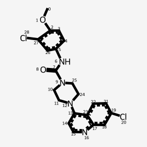 COc1ccc(NC(=O)N2CCN(c3ccnc4cc(Cl)ccc34)CC2)cc1Cl